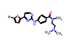 CN(C)CCN(C)C(=O)c1ccc(Nc2nccc(-c3ccc(Br)s3)n2)cc1